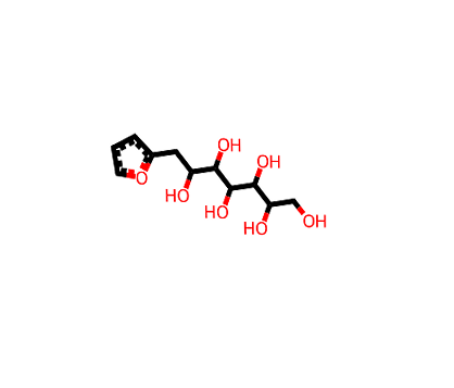 OCC(O)C(O)C(O)C(O)C(O)Cc1ccco1